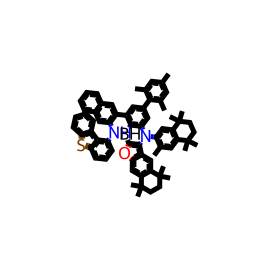 Cc1cc(C)c(-c2cc(-c3cc4ccccc4cc3Nc3cccc4sc5ccccc5c34)c3c(c2)N(c2cc4c(cc2C)C(C)(C)CCC4(C)C)c2c(oc4cc5c(cc24)C(C)(C)CCC5(C)C)B3)c(C)c1